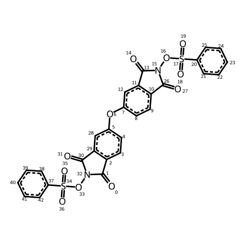 O=C1c2ccc(Oc3ccc4c(c3)C(=O)N(OS(=O)(=O)c3ccccc3)C4=O)cc2C(=O)N1OS(=O)(=O)c1ccccc1